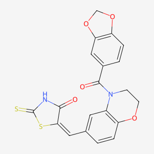 O=C1NC(=S)SC1=Cc1ccc2c(c1)N(C(=O)c1ccc3c(c1)OCO3)CCO2